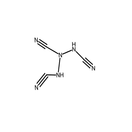 N#CNN(C#N)NC#N